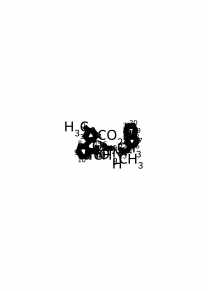 Cc1cc(C(=O)O)cc(-c2ccccc2C(C)OC[C@@H](O)CNC(C)(C)Cc2ccc3ccccc3c2)c1